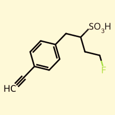 C#Cc1ccc(CC(CCF)S(=O)(=O)O)cc1